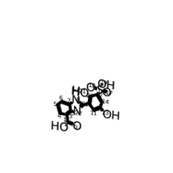 O=C(O)c1cccc2[nH]c(-c3cc(O)cc(S(=O)(=O)O)c3O)nc12